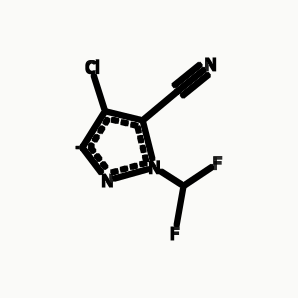 N#Cc1c(Cl)[c]nn1C(F)F